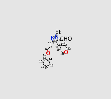 CCn1nc(CCCOCc2ccccc2)c(CC2(C)CCOCC2)c1C=O